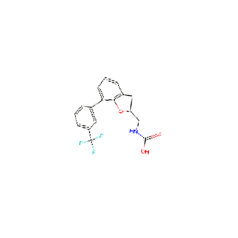 O=C(O)NCC1Cc2cccc(-c3cccc(C(F)(F)F)c3)c2O1